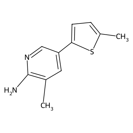 Cc1ccc(-c2cnc(N)c(C)c2)s1